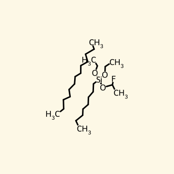 CCCCCCCCCCCCC.CCCCCCCC[Si](OCC)(OCC)OC(C)F